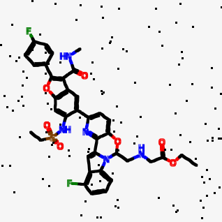 CCOC(=O)CNCC1Oc2ccc(-c3cc4c(C(=O)NC)c(-c5ccc(F)cc5)oc4cc3NS(=O)(=O)CC)nc2-c2cc3c(F)cccc3n21